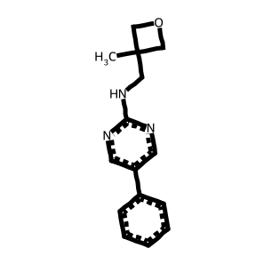 CC1(CNc2ncc(-c3ccccc3)cn2)COC1